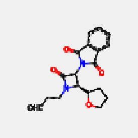 O=CCCN1C(=O)C(N2C(=O)c3ccccc3C2=O)[C@H]1C1CCCO1